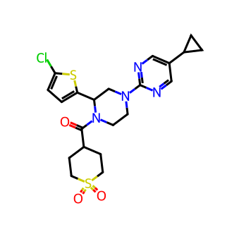 O=C(C1CCS(=O)(=O)CC1)N1CCN(c2ncc(C3CC3)cn2)CC1c1ccc(Cl)s1